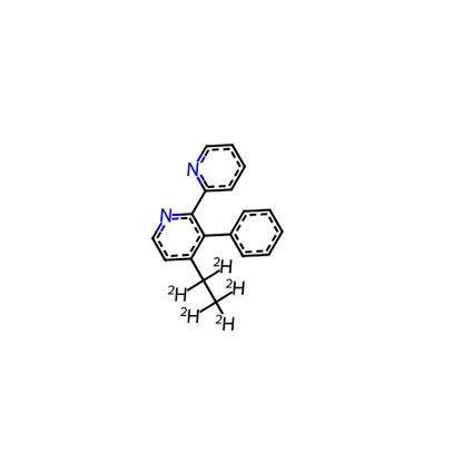 [2H]C([2H])([2H])C([2H])([2H])c1ccnc(-c2ccccn2)c1-c1ccccc1